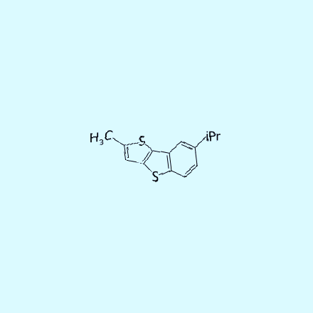 Cc1cc2sc3ccc(C(C)C)cc3c2s1